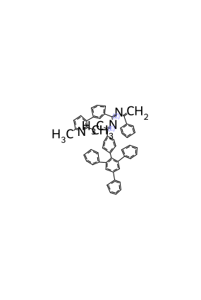 C=C(/N=C(\N=C(/C)c1ccc(-c2c(-c3ccccc3)cc(-c3ccccc3)cc2-c2ccccc2)cc1)c1cccc(-c2ccc(C)nc2C)c1)c1ccccc1